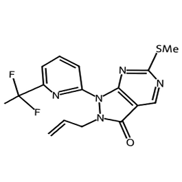 C=CCn1c(=O)c2cnc(SC)nc2n1-c1cccc(C(C)(F)F)n1